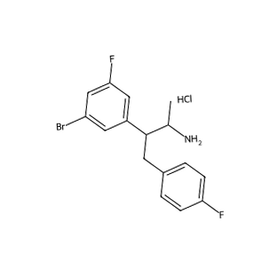 CC(N)C(Cc1ccc(F)cc1)c1cc(F)cc(Br)c1.Cl